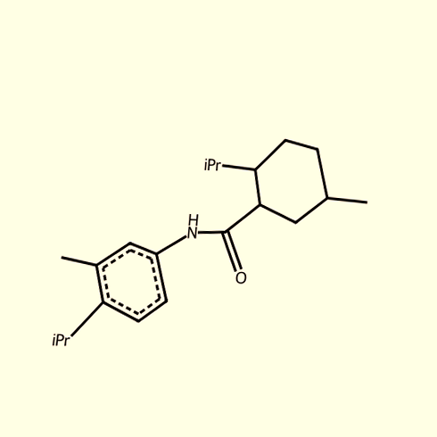 Cc1cc(NC(=O)C2CC(C)CCC2C(C)C)ccc1C(C)C